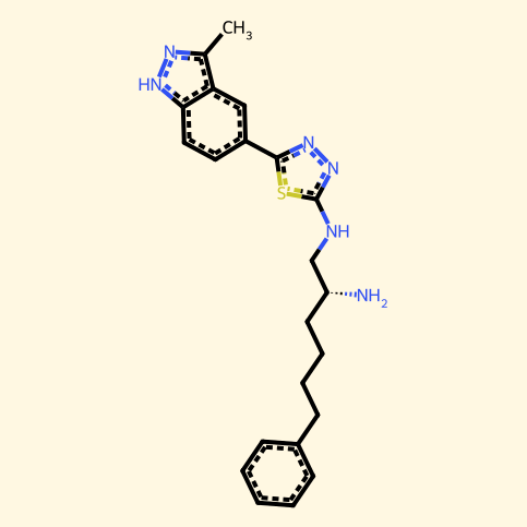 Cc1n[nH]c2ccc(-c3nnc(NC[C@H](N)CCCCc4ccccc4)s3)cc12